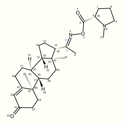 C/C(=N\OC(=O)[C@@H]1CCCN1C)[C@H]1CC[C@H]2[C@@H]3CCC4=CC(=O)CC[C@]4(C)[C@H]3CC[C@]12C